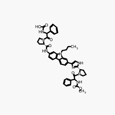 CCCCn1c2cc(NC(=O)[C@@H]3CCCN3C(=O)C(NC(=O)O)c3ccccc3)ccc2c2ccc(-c3c[nH]c([C@@H]4CCCN4C(=O)C(NC(=O)OC)c4ccccc4)n3)cc21